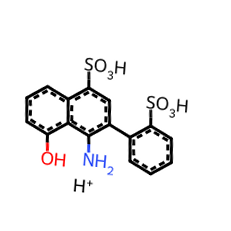 Nc1c(-c2ccccc2S(=O)(=O)O)cc(S(=O)(=O)O)c2cccc(O)c12.[H+]